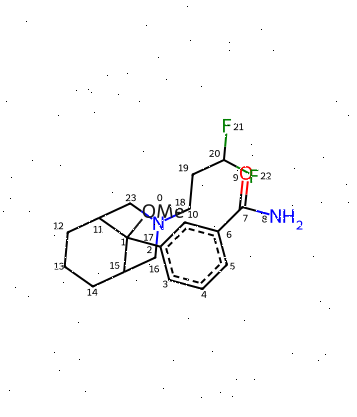 COC1(c2cccc(C(N)=O)c2)C2CCCC1CN(CCC(F)F)C2